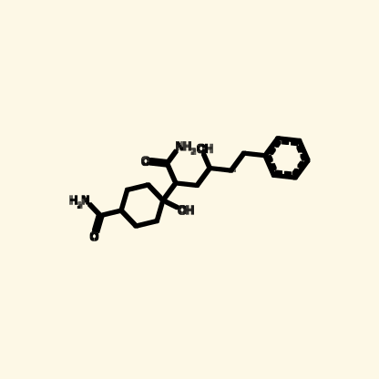 NC(=O)C1CCC(O)(C(CC(O)[CH]Cc2ccccc2)C(N)=O)CC1